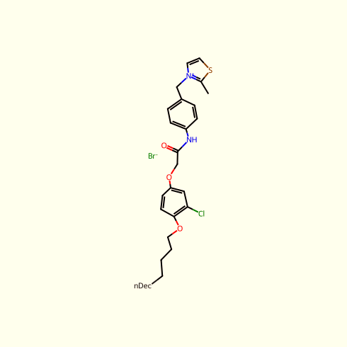 CCCCCCCCCCCCCCOc1ccc(OCC(=O)Nc2ccc(C[n+]3ccsc3C)cc2)cc1Cl.[Br-]